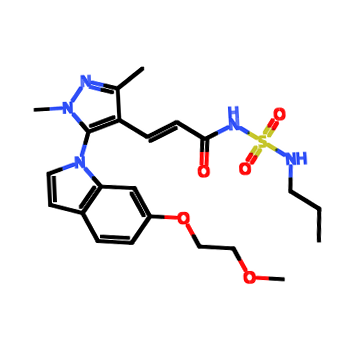 CCCNS(=O)(=O)NC(=O)/C=C/c1c(C)nn(C)c1-n1ccc2ccc(OCCOC)cc21